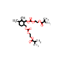 C=C(C)C(=O)OCCOC(=O)OCC1CCC(C)C(C)C1COC(=O)OCCOC(=O)C(=C)C